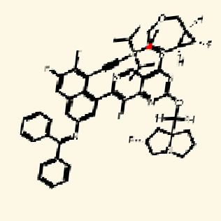 [2H]C([2H])(Oc1nc(N2CCOC[C@H]3[C@H](F)[C@H]32)c2cnc(-c3cc(N=C(c4ccccc4)c4ccccc4)cc4cc(F)c(F)c(C#C[Si](C(C)C)(C(C)C)C(C)C)c34)c(F)c2n1)[C@@]12CCCN1C[C@H](F)C2